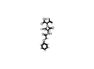 C=C(C)C(C(=O)O)N1C(=O)C(NC(=O)COc2ccccc2)C1I